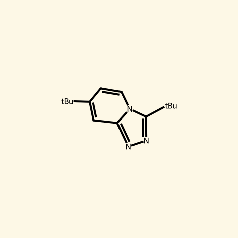 CC(C)(C)c1ccn2c(C(C)(C)C)nnc2c1